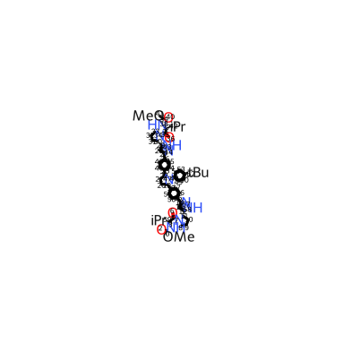 COC(=O)N[C@H](C(=O)N1CCC[C@H]1c1cc(-c2ccc(C3CCC(c4ccc(-c5cc([C@@H]6CCCN6C(=O)[C@@H](NC(=O)OC)C(C)C)[nH]n5)cc4)N3c3ccc(C(C)(C)C)cc3)cc2)n[nH]1)C(C)C